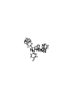 Cc1ccc(-n2nc(C3CCC4(CC3)OCCO4)cc2NC(=O)C2C=NN3C=CC=NC23)cc1